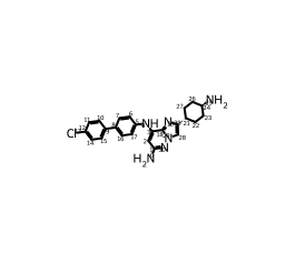 Nc1cc(Nc2ccc(-c3ccc(Cl)cc3)cc2)c2nc([C@H]3CC[C@H](N)CC3)cn2n1